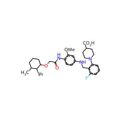 COc1cc(NCc2c(F)cccc2N2CCC(C(=O)O)CC2)ccc1NC(=O)COC1CCCC(C)C1C(C)C